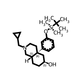 CC(C)(C)[Si](C)(C)Oc1cccc([C@@]23CCN(CC4CC4)C[C@H]2CC[C@H](O)C3)c1